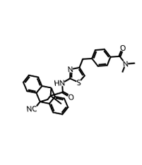 CN(C)C(=O)c1ccc(Cc2csc(NC(=O)C3(C)CC4(C#N)c5ccccc5C3c3ccccc34)n2)cc1